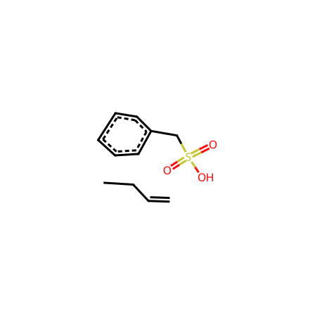 C=CCC.O=S(=O)(O)Cc1ccccc1